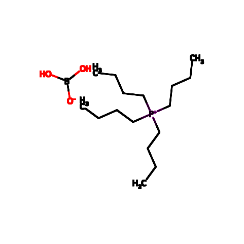 CCCC[P+](CCCC)(CCCC)CCCC.[O-]B(O)O